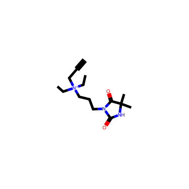 C#CC[N+](CC)(CC)CCCN1C(=O)NC(C)(C)C1=O